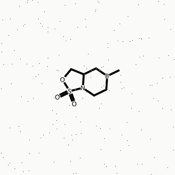 CB1CCN2C(COS2(=O)=O)C1